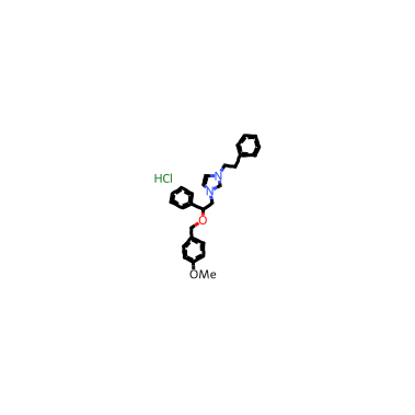 COc1ccc(COC(CN2C=CN(CCc3ccccc3)C2)c2ccccc2)cc1.Cl